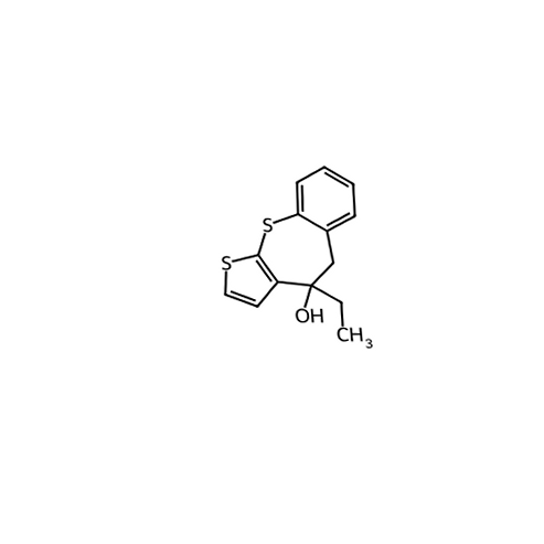 CCC1(O)Cc2ccccc2Sc2sccc21